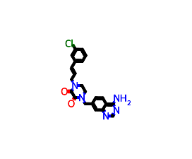 Nc1ncnc2cc(CN3CCN(CC=Cc4cccc(Cl)c4)C(=O)C3=O)ccc12